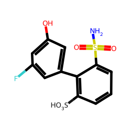 NS(=O)(=O)c1cccc(S(=O)(=O)O)c1-c1cc(O)cc(F)c1